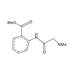 CNCC(=O)Nc1ccccc1C(=O)OC